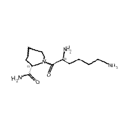 NCCCC[C@H](N)C(=O)N1CCC[C@H]1C(N)=O